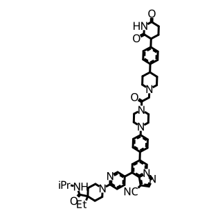 CCC1(C(=O)NC(C)C)CCN(c2ccc(-c3cc(-c4ccc(N5CCN(C(=O)CN6CCC(c7ccc(C8CCC(=O)NC8=O)cc7)CC6)CC5)cc4)cn4ncc(C#N)c34)cn2)CC1